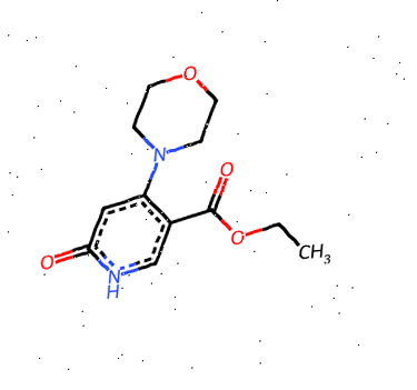 CCOC(=O)c1c[nH]c(=O)cc1N1CCOCC1